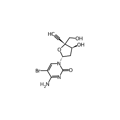 C#C[C@]1(CO)O[C@@H](n2cc(Br)c(N)nc2=O)C[C@@H]1O